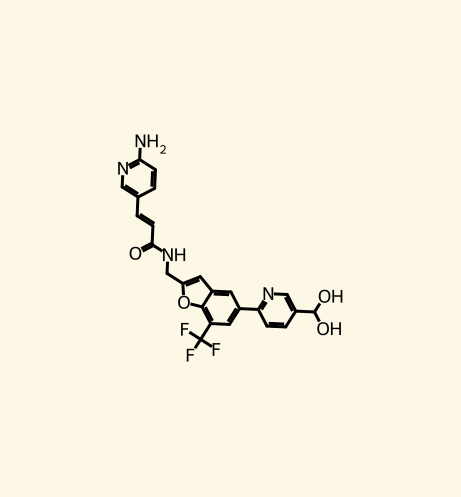 Nc1ccc(/C=C/C(=O)NCc2cc3cc(-c4ccc(C(O)O)cn4)cc(C(F)(F)F)c3o2)cn1